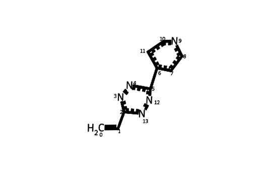 C=Cc1nnc(-c2ccncc2)nn1